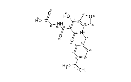 CC(C)c1ccc(Cn2c3c(c(O)c(C(=O)NCC(=O)O)c2=O)COC3)cc1